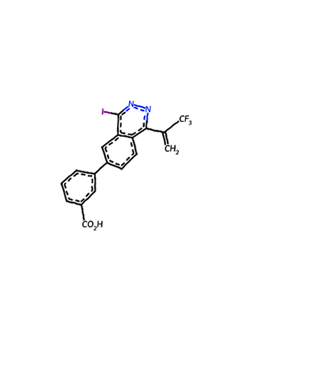 C=C(c1nnc(I)c2cc(-c3cccc(C(=O)O)c3)ccc12)C(F)(F)F